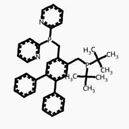 CC(C)(C)P(Cc1cc(-c2ccccc2)c(-c2ccccc2)cc1CP(c1ccccn1)c1ccccn1)C(C)(C)C